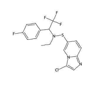 CCN(Sc1ccc2ncc(Cl)n2c1)C(c1ccc(F)cc1)C(F)(F)F